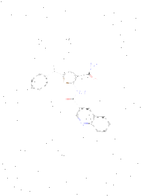 CC(c1ccccc1)c1cc(C(N)=O)c(NC(=O)c2cnc3ccccc3c2)s1